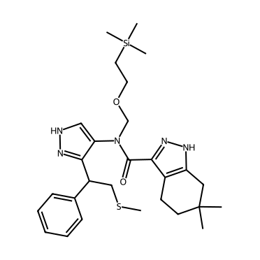 CSCC(c1ccccc1)c1n[nH]cc1N(COCC[Si](C)(C)C)C(=O)c1n[nH]c2c1CCC(C)(C)C2